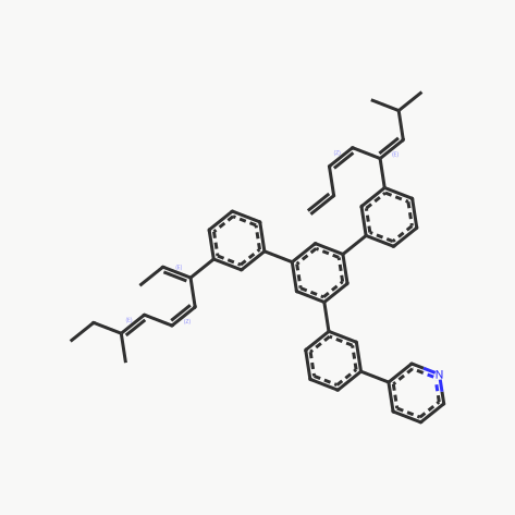 C=C/C=C\C(=C/C(C)C)c1cccc(-c2cc(-c3cccc(C(/C=C\C=C(/C)CC)=C/C)c3)cc(-c3cccc(-c4cccnc4)c3)c2)c1